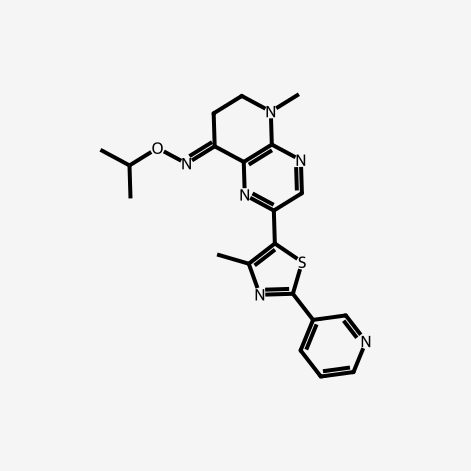 Cc1nc(-c2cccnc2)sc1-c1cnc2c(n1)/C(=N/OC(C)C)CCN2C